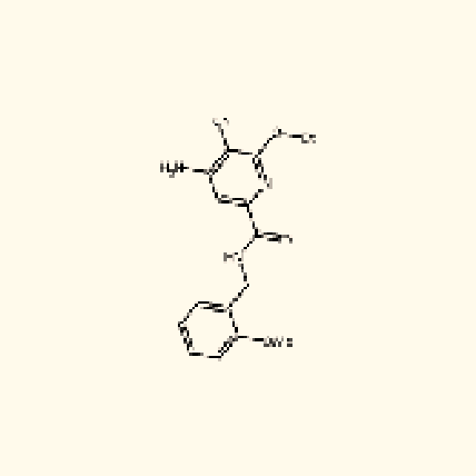 CCOc1nc(C(=O)NCc2ccccc2OC)cc(N)c1C#N